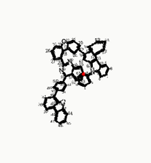 c1ccc(-n2c3ccccc3c3c4ccccc4c(-c4ccc5oc6cccc(-c7nc(-c8ccc(-c9cccc%10c9oc9ccccc9%10)cc8)c8ccccc8n7)c6c5c4)cc32)cc1